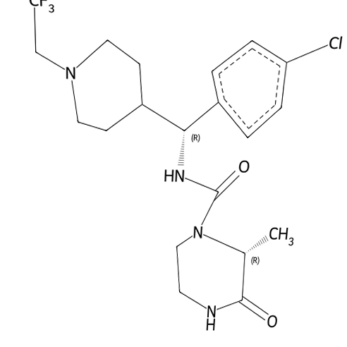 C[C@@H]1C(=O)NCCN1C(=O)N[C@@H](c1ccc(Cl)cc1)C1CCN(CC(F)(F)F)CC1